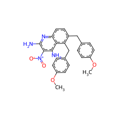 COc1ccc(Cc2ccc3nc(N)c([N+](=O)[O-])c(N)c3c2Cc2ccc(OC)cc2)cc1